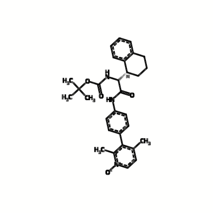 Cc1cc[n+]([O-])c(C)c1-c1ccc(NC(=O)C(NC(=O)OC(C)(C)C)[C@H]2CCCc3ccccc32)cc1